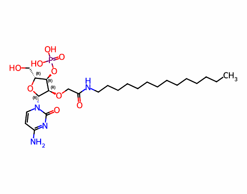 CCCCCCCCCCCCCCNC(=O)CO[C@@H]1[C@H](OP(=O)(O)O)[C@@H](CO)O[C@H]1n1ccc(N)nc1=O